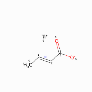 C/C=C/C(=O)[O-].[Tl+]